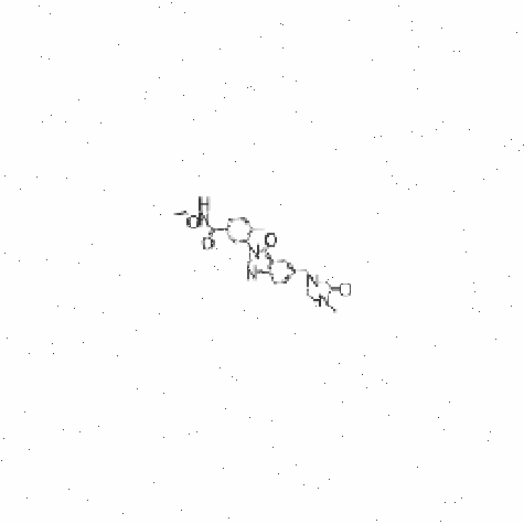 CCONC(=O)c1ccc(C)c(-n2cnc3ccc(CN4CCN(C)C(=O)C4)cc3c2=O)c1